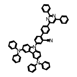 N#Cc1cc(-n2c3ccc(N(c4ccccc4)c4ccccc4)cc3c3cc(N(c4ccccc4)c4ccccc4)ccc32)ccc1-c1ccc(-c2cc(-c3ccccc3)nc(-c3ccccc3)n2)cc1